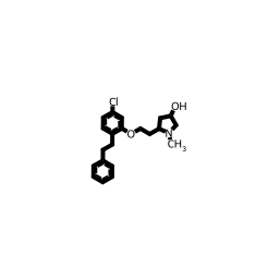 CN1CC(O)CC1CCOc1cc(Cl)ccc1CCc1ccccc1